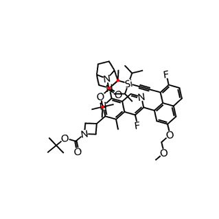 COCOc1cc(-c2ncc3c(N4CC5CCC(C4)N5C(=O)OC(C)(C)C)nc(C4CN(C(=O)OC(C)(C)C)C4)c(C)c3c2F)c2c(C#C[Si](C(C)C)(C(C)C)C(C)C)c(F)ccc2c1